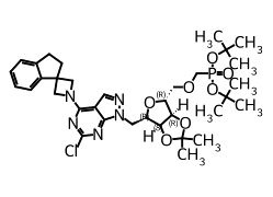 CC(C)(C)OP(=O)(COC[C@H]1O[C@H](Cn2ncc3c(N4CC5(CCc6ccccc65)C4)nc(Cl)nc32)[C@@H]2OC(C)(C)O[C@@H]21)OC(C)(C)C